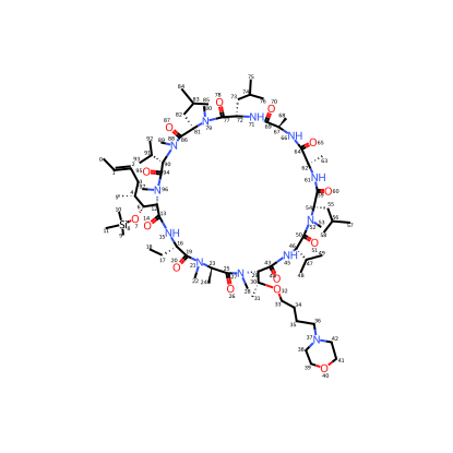 C/C=C/C[C@@H](C)[C@@H](O[Si](C)(C)C)[C@H]1C(=O)N[C@@H](CC)C(=O)N(C)[C@H](C)C(=O)N(C)[C@@H]([C@@H](C)OCCCCN2CCOCC2)C(=O)N[C@@H](C(C)C)C(=O)N(C)[C@@H](CC(C)C)C(=O)N[C@@H](C)C(=O)N[C@H](C)C(=O)N[C@@H](CC(C)C)C(=O)N(C)[C@@H](CC(C)C)C(=O)N(C)[C@@H](C(C)C)C(=O)N1C